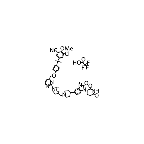 COc1c(Cl)cc(C(C)(C)c2ccc(OCc3ccnc(N4CCC(CN5CCC(c6ccc7c(c6)n(C)c(=O)n7C6CCC(=O)NC6=O)CC5)CC4)n3)cc2)cc1C#N.O=C(O)C(F)(F)F